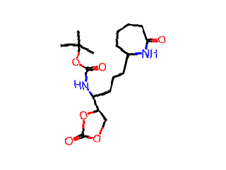 CC(C)(C)OC(=O)NC(CCCC1CCCCC(=O)N1)C1COC(=O)O1